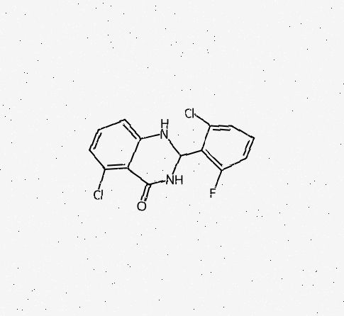 O=C1NC(c2c(F)cccc2Cl)Nc2cccc(Cl)c21